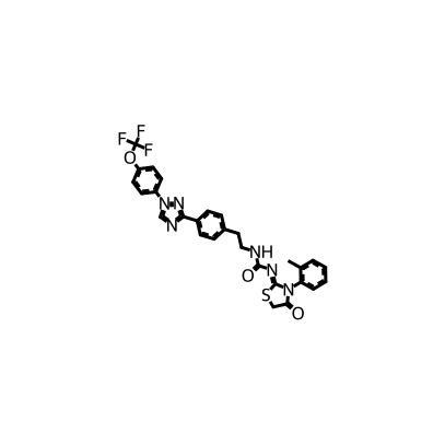 Cc1ccccc1N1C(=O)CS/C1=N\C(=O)NCCc1ccc(-c2ncn(-c3ccc(OC(F)(F)F)cc3)n2)cc1